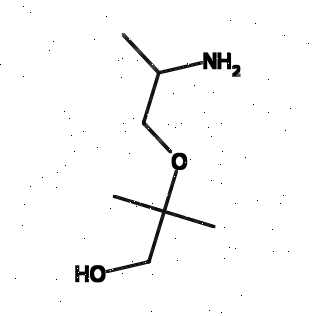 CC(N)COC(C)(C)CO